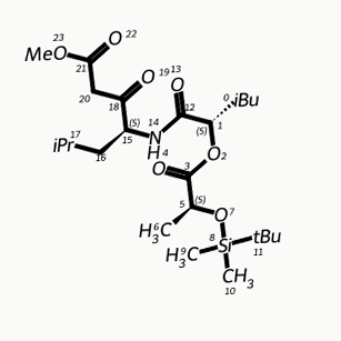 CCC(C)[C@H](OC(=O)[C@H](C)O[Si](C)(C)C(C)(C)C)C(=O)N[C@@H](CC(C)C)C(=O)CC(=O)OC